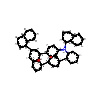 c1ccc(-c2ccc(-c3ccccc3N(c3ccc(-c4cccc(-c5cccc6ccccc56)c4)cc3)c3cccc4ccccc34)cc2)cc1